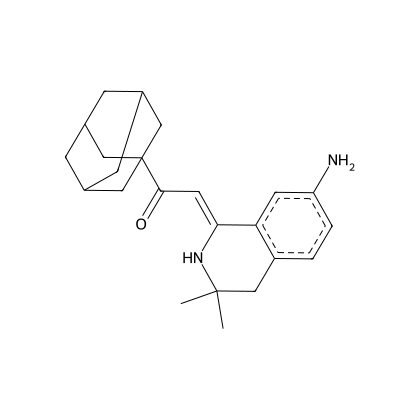 CC1(C)Cc2ccc(N)cc2C(=CC(=O)C23CC4CC(CC(C4)C2)C3)N1